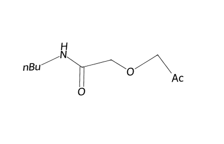 CCCCNC(=O)COCC(C)=O